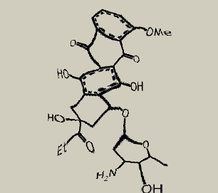 CCC(=O)[C@]1(O)Cc2c(O)c3c(c(O)c2C(OC2CC(N)C(O)C(C)O2)C1)C(=O)c1c(OC)cccc1C3=O